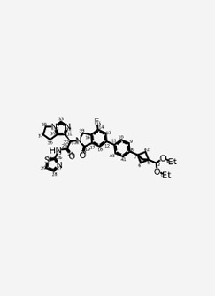 CCOC(OCC)C12CC(c3ccc(-c4cc(F)c5c(c4)C(=O)N([C@@H](C(=O)Nc4nccs4)c4ncn6c4CCC6)C5)cc3)(C1)C2